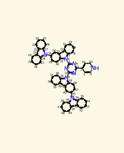 C1=CC(c2nc(-n3c4ccccc4c4cc(-n5c6ccccc6c6ccccc65)ccc43)nc(-n3c4ccccc4c4cc(-n5c6ccccc6c6ccccc65)ccc43)n2)=CCN1